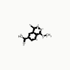 COc1nnc(I)c2cc(C(=O)O)ccc12